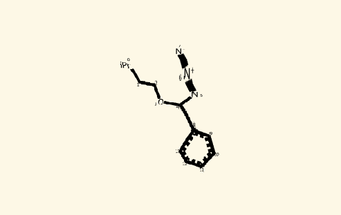 CC(C)CCOC(N=[N+]=[N-])c1ccccc1